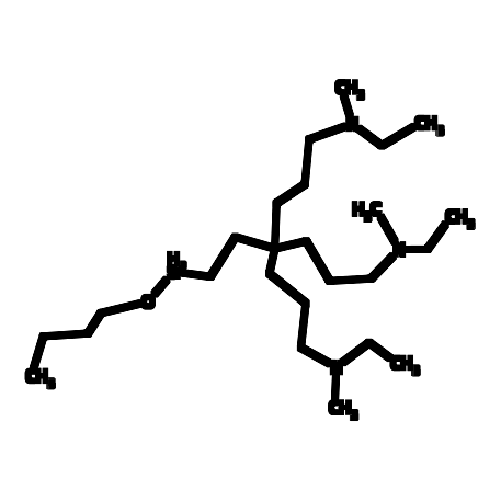 CCCCO[SiH2]CCC(CCCN(C)CC)(CCCN(C)CC)CCCN(C)CC